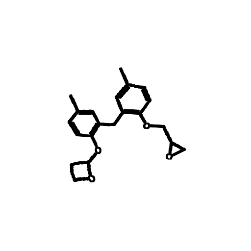 Cc1ccc(OCC2CO2)c(Cc2cc(C)ccc2OC2CCO2)c1